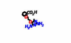 Cc1nc(N)nc(N)c1OCCCOC1(C)C=CC=CC1C(=O)O